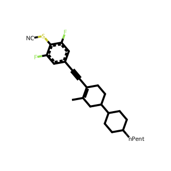 CCCCCC1CCC(C2CCC(C#Cc3cc(F)c(SC#N)c(F)c3)=C(C)C2)CC1